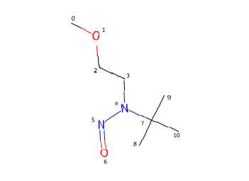 COCCN(N=O)C(C)(C)C